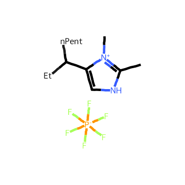 CCCCCC(CC)c1c[nH]c(C)[n+]1C.F[P-](F)(F)(F)(F)F